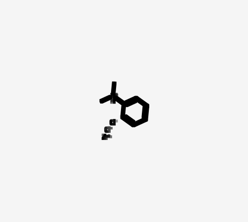 C[NH+](C)c1ccccc1.[Cl-].[Cl-].[Zr+]